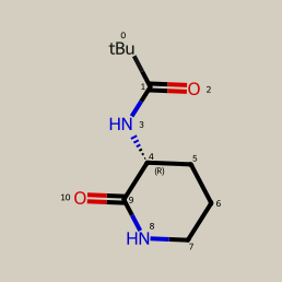 CC(C)(C)C(=O)N[C@@H]1CCCNC1=O